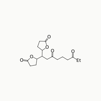 CCC(=O)CCCC(=O)CC(C1CCC(=O)O1)C1CCC(=O)O1